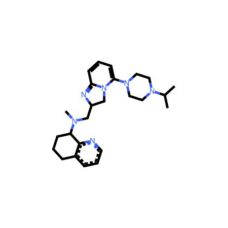 CC(C)N1CCN(C2=CC=CC3=NC(CN(C)C4CCCc5cccnc54)CN23)CC1